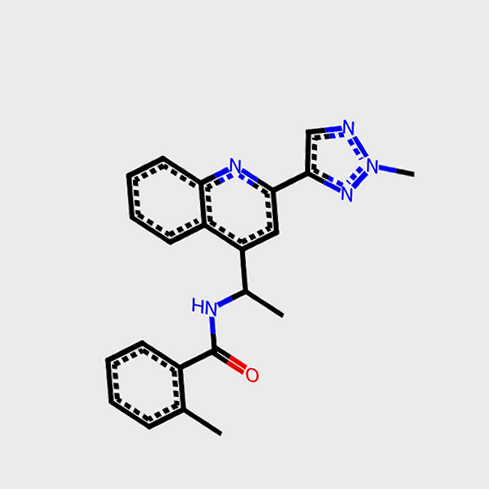 Cc1ccccc1C(=O)NC(C)c1cc(-c2cnn(C)n2)nc2ccccc12